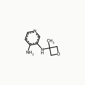 CC1(Nc2cnccc2N)COC1